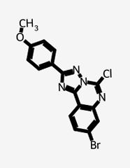 COc1ccc(-c2nc3c4ccc(Br)cc4nc(Cl)n3n2)cc1